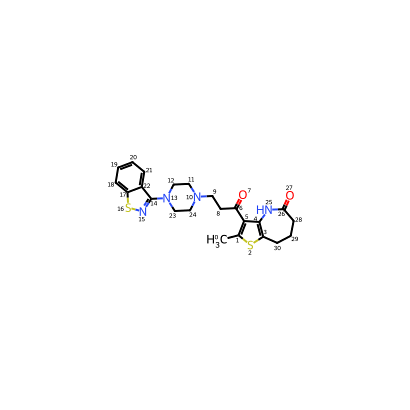 Cc1sc2c(c1C(=O)CCN1CCN(c3nsc4ccccc34)CC1)NC(=O)CCC2